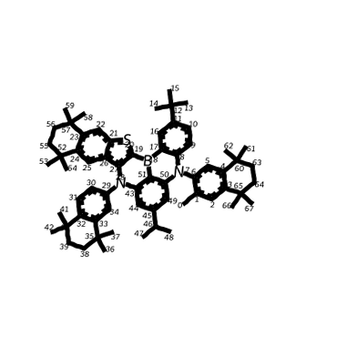 Cc1cc2c(cc1N1c3ccc(C(C)(C)C)cc3B3c4sc5cc6c(cc5c4N(c4ccc5c(c4)C(C)(C)CCC5(C)C)c4cc(C(C)C)cc1c43)C(C)(C)CCC6(C)C)C(C)(C)CCC2(C)C